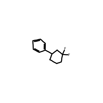 FC1(F)CCCC(c2ccccc2)C1